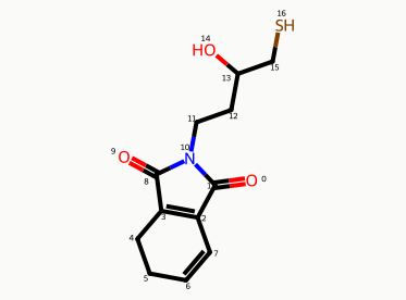 O=C1C2=C(CCC=C2)C(=O)N1CCC(O)CS